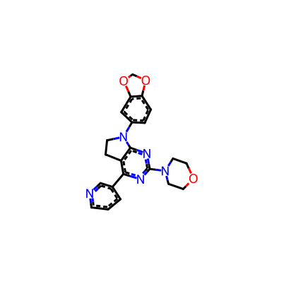 c1cncc(-c2nc(N3CCOCC3)nc3c2CCN3c2ccc3c(c2)OCO3)c1